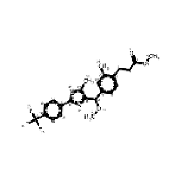 COC(=O)CCc1ccc(C(OC)c2sc(-c3ccc(C(F)(F)F)cc3)nc2C)cc1C